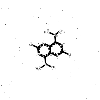 CN(C)c1nc(Cl)nc2c(N(C)C)nc(Cl)nc12